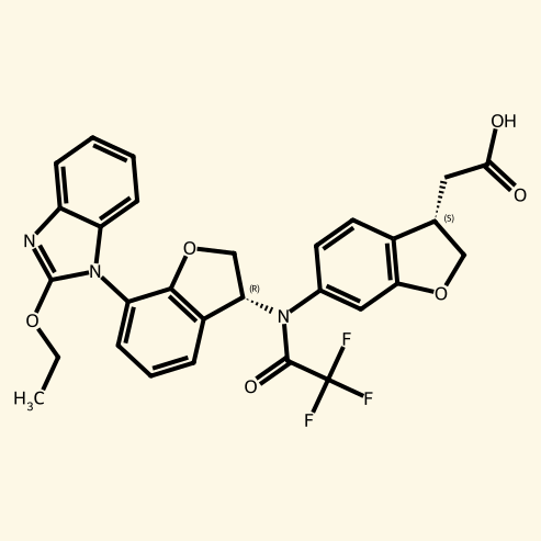 CCOc1nc2ccccc2n1-c1cccc2c1OC[C@@H]2N(C(=O)C(F)(F)F)c1ccc2c(c1)OC[C@H]2CC(=O)O